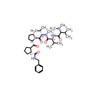 CC(C)C(C(=O)N[C@H](C(=O)N(C)[C@H](C(=O)N1CCC[C@H]1C(=O)C1CCC[C@H]1C(=O)NCc1ccccc1)C(C)C)C(C)C)N(C)C